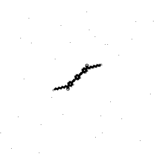 CCCCCCCCC(=O)c1ccc(C#Cc2ccc(C#Cc3ccc(C(=O)CCCCCCCC)cc3)cc2)cc1